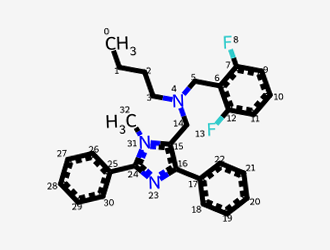 CCCCN(Cc1c(F)cccc1F)Cc1c(-c2ccccc2)nc(-c2ccccc2)n1C